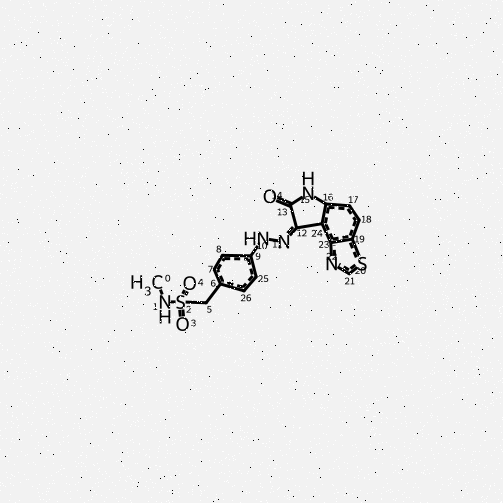 CNS(=O)(=O)Cc1ccc(N/N=C2\C(=O)Nc3ccc4scnc4c32)cc1